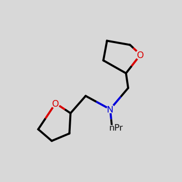 [CH2]CCN(CC1CCCO1)CC1CCCO1